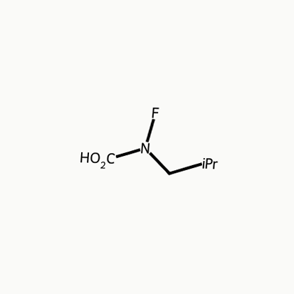 CC(C)CN(F)C(=O)O